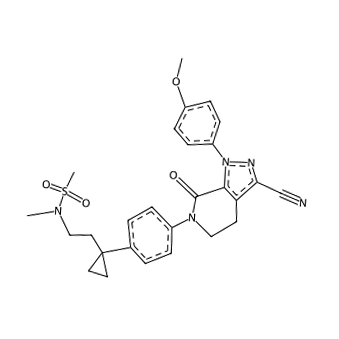 COc1ccc(-n2nc(C#N)c3c2C(=O)N(c2ccc(C4(CCN(C)S(C)(=O)=O)CC4)cc2)CC3)cc1